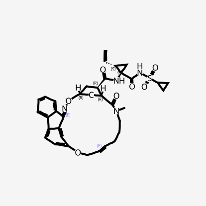 C=C[C@@H]1C[C@]1(NC(=O)[C@@H]1C[C@@H]2C[C@H]1C(=O)N(C)CCC/C=C/COc1ccc3c(c1)/C(=N/O2)c1ccccc1-3)C(=O)NS(=O)(=O)C1CC1